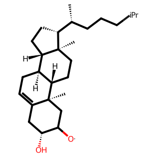 CC(C)CCC[C@@H](C)[C@H]1CC[C@H]2[C@@H]3CC=C4C[C@@H](O)C([O])C[C@]4(C)[C@H]3CC[C@]12C